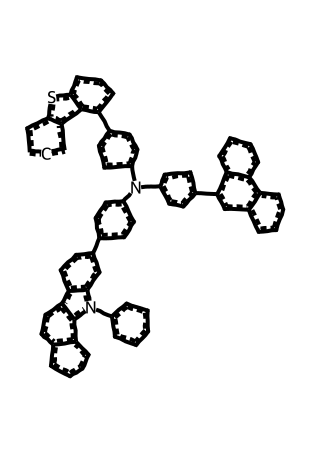 c1ccc(-n2c3cc(-c4ccc(N(c5ccc(-c6cc7ccccc7c7ccccc67)cc5)c5ccc(-c6cccc7sc8ccccc8c67)cc5)cc4)ccc3c3ccc4ccccc4c32)cc1